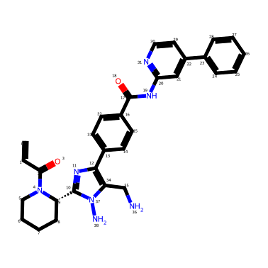 C=CC(=O)N1CCCC[C@H]1c1nc(-c2ccc(C(=O)Nc3cc(-c4ccccc4)ccn3)cc2)c(CN)n1N